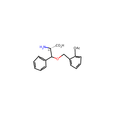 CC(=O)Oc1ccccc1COC(c1ccccc1)[C@H](N)C(=O)O